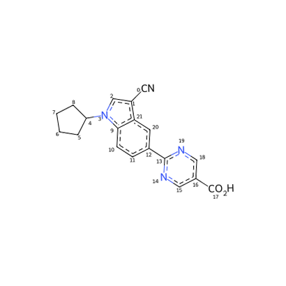 N#Cc1cn(C2CCCC2)c2ccc(-c3ncc(C(=O)O)cn3)cc12